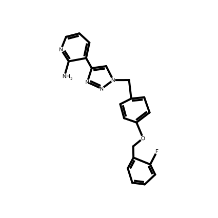 Nc1ncccc1-c1cn(Cc2ccc(OCc3ccccc3F)cc2)nn1